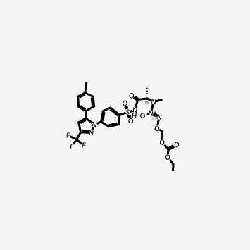 CCOC(=O)OCO/N=[N+](\[O-])N(C)[C@@H](C)C(=O)NS(=O)(=O)c1ccc(-n2nc(C(F)(F)F)cc2-c2ccc(C)cc2)cc1